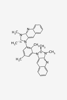 Cc1cc(N2c3cc4ccccc4nc3N(C)[C@H]2C)c(C)c(N2c3cc4ccccc4nc3N(C)[C@@H]2C)c1